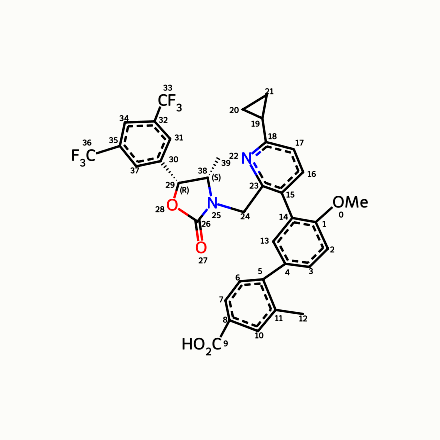 COc1ccc(-c2ccc(C(=O)O)cc2C)cc1-c1ccc(C2CC2)nc1CN1C(=O)O[C@H](c2cc(C(F)(F)F)cc(C(F)(F)F)c2)[C@@H]1C